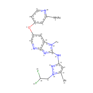 CC(=O)Nc1cc(Oc2cnc3nc(Nc4cc(C(C)C)n(CC(F)F)n4)n(C)c3c2)ccn1